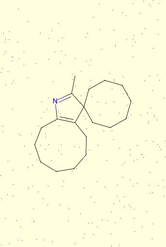 CC1=NC2=C(CCCCCCC2)C12CCCCCCC2